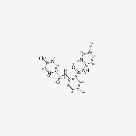 Cc1ccc(NC(=O)c2cnc(Cl)cn2)c(C(=O)Nc2ccc(F)cn2)c1